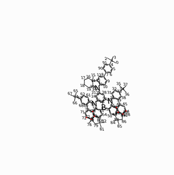 CC(C)(C)c1ccc(-c2ccc3c(c2)C2(C)CCCCC2(C)N3c2cc3c4c(c2)N(c2ccc(C(C)(C)C)cc2-c2ccccc2)c2cc5c(cc2B4c2cc4c(cc2N3c2ccc(C(C)(C)C)cc2-c2ccccc2)C(C)(C)CC4(C)C)C(C)(C)CC5(C)C)cc1